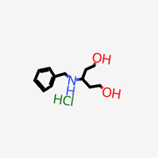 Cl.OCCC(CCO)NCc1ccccc1